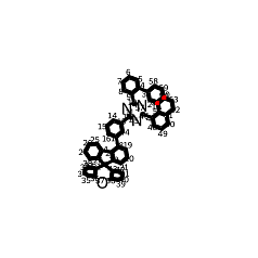 c1ccc(-c2ccccc2-c2nc(-c3cccc(-c4cccc5c4-c4ccccc4C54c5ccccc5Oc5ccccc54)c3)nc(-c3cccc4ccccc34)n2)cc1